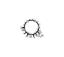 CC1NC(=O)CCOCCOCCOCC(N)C(C(=O)O)C(C)NC1=O